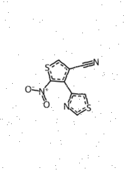 N#Cc1csc([N+](=O)[O-])c1-c1cscn1